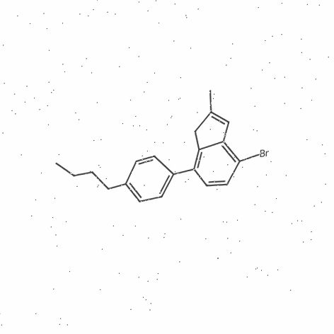 CCCCc1ccc(-c2ccc(Br)c3c2CC(C)=C3)cc1